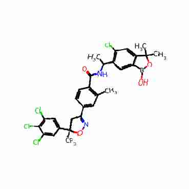 Cc1cc(C2=NO[C@@](c3cc(Cl)c(Cl)c(Cl)c3)(C(F)(F)F)C2)ccc1C(=O)NC(C)c1cc2c(cc1Cl)C(C)(C)OB2O